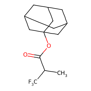 CC(C(=O)OC12CC3CC(CC(C3)C1)C2)C(F)(F)F